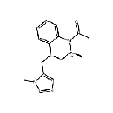 CC(=O)N1c2ccccc2N(Cc2cncn2C)C[C@@H]1C